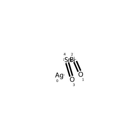 [Ag].[O]=[Bi].[O]=[Sn]